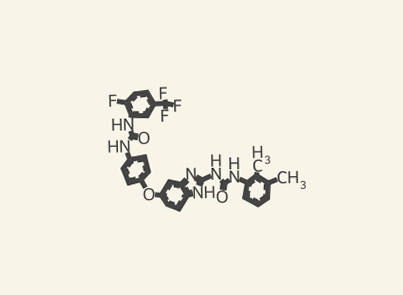 Cc1cccc(NC(=O)Nc2nc3cc(Oc4ccc(NC(=O)Nc5cc(C(F)(F)F)ccc5F)cc4)ccc3[nH]2)c1C